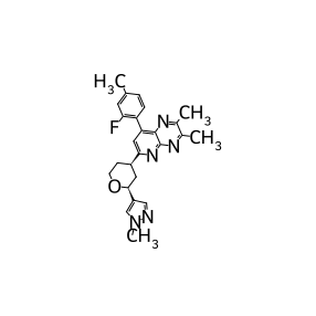 Cc1ccc(-c2cc([C@@H]3CCO[C@H](c4cnn(C)c4)C3)nc3nc(C)c(C)nc23)c(F)c1